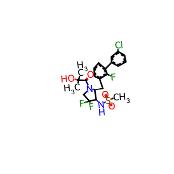 CC(C)(O)C(=O)N1CC(F)(F)[C@H](NS(C)(=O)=O)[C@@H]1Cc1cccc(-c2cccc(Cl)c2)c1F